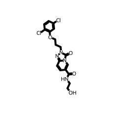 O=C(NCCO)c1ccc2nn(CCCOc3cc(Cl)ccc3Cl)c(=O)n2c1